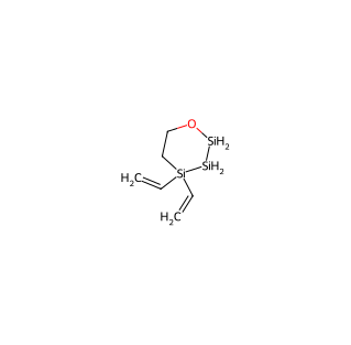 C=C[Si]1(C=C)CCO[SiH2][SiH2]1